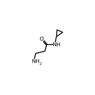 NCCC(=O)NC1CC1